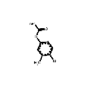 CCCC(=O)Oc1ccc(O)c(N)c1